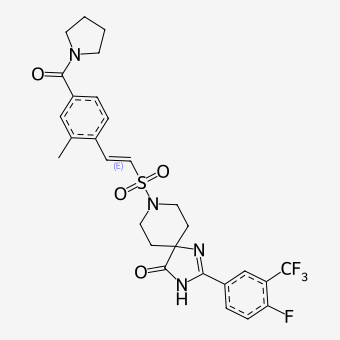 Cc1cc(C(=O)N2CCCC2)ccc1/C=C/S(=O)(=O)N1CCC2(CC1)N=C(c1ccc(F)c(C(F)(F)F)c1)NC2=O